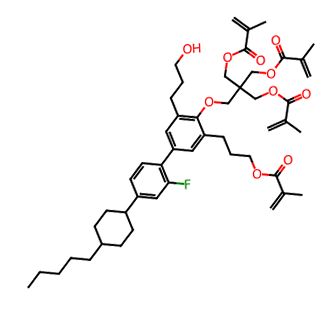 C=C(C)C(=O)OCCCc1cc(-c2ccc(C3CCC(CCCCC)CC3)cc2F)cc(CCCO)c1OCC(COC(=O)C(=C)C)(COC(=O)C(=C)C)COC(=O)C(=C)C